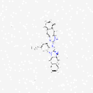 FC(F)(F)c1cc2c3c(c1)n1c4cc5ccccc5cc4nc1n3c1nc3cc4ccccc4cc3n21